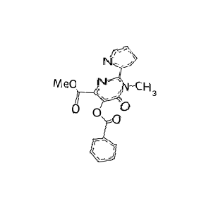 COC(=O)c1nc(-c2ccccn2)n(C)c(=O)c1OC(=O)c1ccccc1